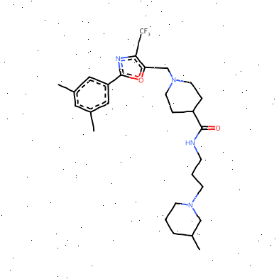 Cc1cc(C)cc(-c2nc(C(F)(F)F)c(CN3CCC(C(=O)NCCCN4CCCC(C)C4)CC3)o2)c1